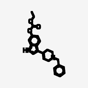 CCOC(=O)Oc1ccc2c(C3=CCN(Cc4ccccc4)CC3)c[nH]c2c1